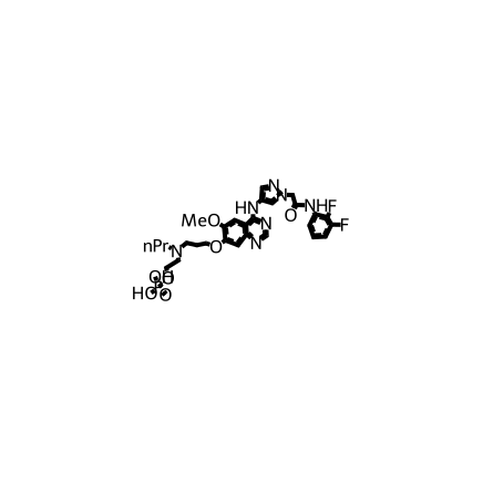 CCCN(CCCOc1cc2ncnc(Nc3cnn(CC(=O)Nc4cccc(F)c4F)c3)c2cc1OC)CCOP(=O)(O)O